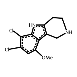 COc1cc(Cl)c(Cl)c2[nH]c3c(c12)CNCC3